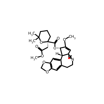 COC(=O)C[C@@]1(C(=O)O[C@@H]2C(OC)=C[C@]34CCCN3CCc3cc5c(cc3[C@H]24)OCO5)CCCC(C)(C)O1